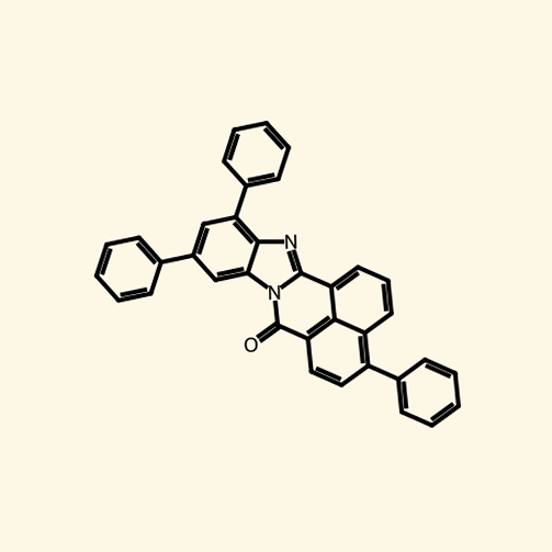 O=c1c2ccc(-c3ccccc3)c3cccc(c32)c2nc3c(-c4ccccc4)cc(-c4ccccc4)cc3n12